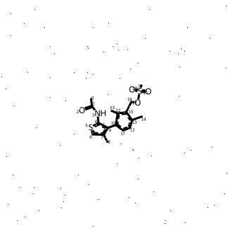 CC(=O)Nc1scc(C)c1-c1ccc(C)c(COS(C)(=O)=O)c1C